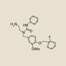 COc1cc(CN(CCN)C(=O)Nc2ccccc2)ccc1OCc1ccccc1F